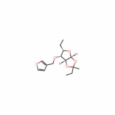 CC[C@H]1O[C@@H]2OC(C)(CC)O[C@@H]2[C@H]1OCc1ccoc1